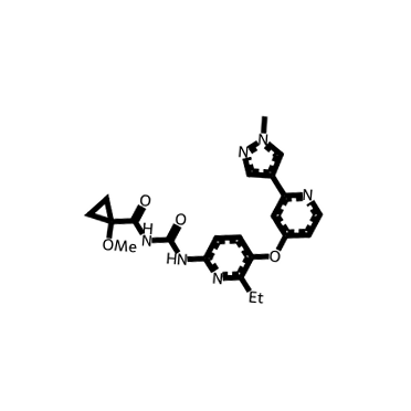 CCc1nc(NC(=O)NC(=O)C2(OC)CC2)ccc1Oc1ccnc(-c2cnn(C)c2)c1